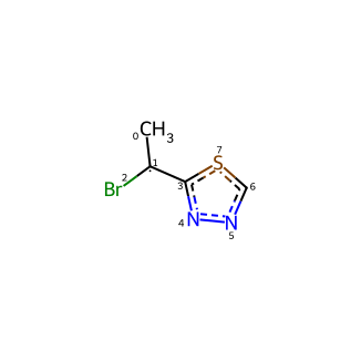 C[C](Br)c1nncs1